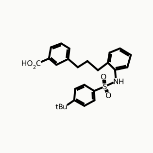 CC(C)(C)c1ccc(S(=O)(=O)Nc2ccccc2CCCc2cccc(C(=O)O)c2)cc1